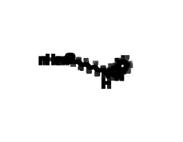 CCCCCCOCCCCCCCCNc1cnc2ccccc2c1